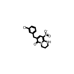 O=c1c(Cc2cccc(Cl)c2)cc([N+](=O)[O-])c2n1CCCN2